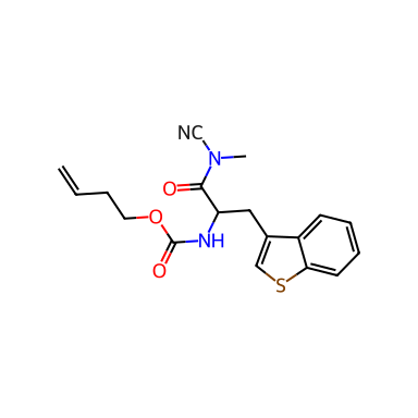 C=CCCOC(=O)NC(Cc1csc2ccccc12)C(=O)N(C)C#N